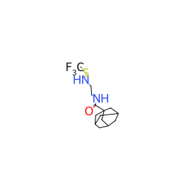 O=C(NCCNSC(F)(F)F)C12CC3CC(CC(C3)C1)C2